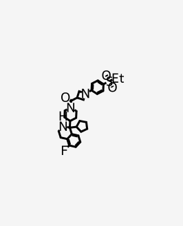 CCS(=O)(=O)c1ccc(N2CC(C(=O)N3CCC(C4(C5CCCC5)NCCc5c(F)cccc54)CC3)C2)cc1